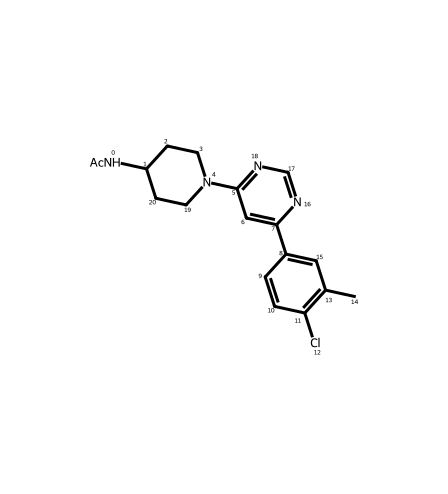 CC(=O)NC1CCN(c2cc(-c3ccc(Cl)c(C)c3)ncn2)CC1